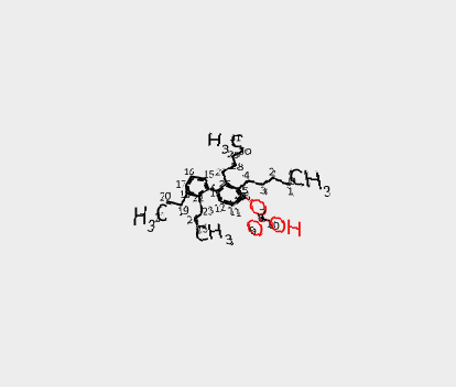 CCCCCc1c(OC(=O)O)ccc(-c2cccc(CCC)c2CCC)c1CCCCC